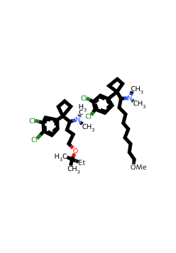 CCC(C)(C)OCCCC(N(C)C)C1(c2ccc(Cl)c(Cl)c2)CCC1.COCCCCCCCCC(N(C)C)C1(c2ccc(Cl)c(Cl)c2)CCC1